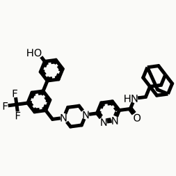 O=C(NCC12CC3CC(CC(C3)C1)C2)c1ccc(N2CCN(Cc3cc(-c4cccc(O)c4)cc(C(F)(F)F)c3)CC2)nn1